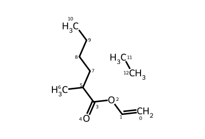 C=COC(=O)C(C)CCCC.CC